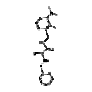 Cc1c(CNC(=O)C(=O)NCc2ccccn2)cccc1N(C)C